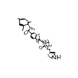 Cc1cc(C)c(NC(=O)c2ccc3nc(NC(=O)NCCc4c[nH]cn4)sc3c2)c(C)c1